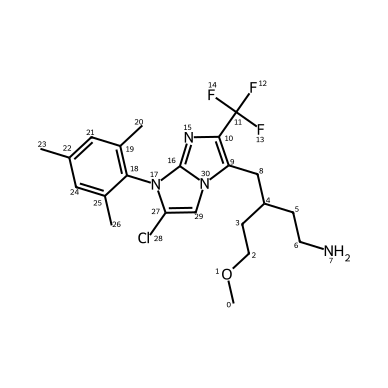 COCCC(CCN)Cc1c(C(F)(F)F)nc2n(-c3c(C)cc(C)cc3C)c(Cl)cn12